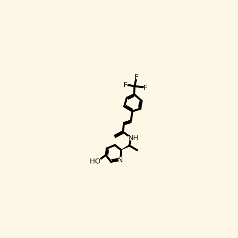 C=C(/C=C/c1ccc(C(F)(F)F)cc1)NC(C)[C@@H]1CC=C(O)C=N1